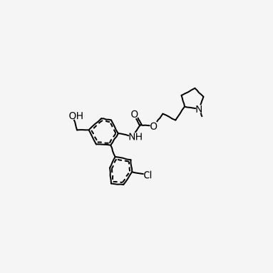 CN1CCCC1CCOC(=O)Nc1ccc(CO)cc1-c1cccc(Cl)c1